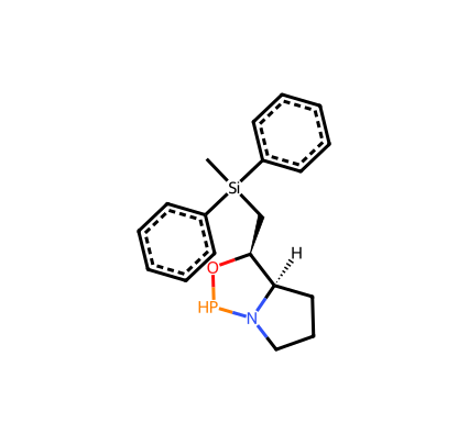 C[Si](C[C@@H]1OPN2CCC[C@H]12)(c1ccccc1)c1ccccc1